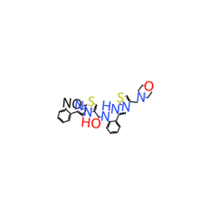 O=[N+]([O-])c1ccccc1-c1cn2c(C(O)Nc3ccccc3-c3cn4c(CN5CCOCC5)csc4n3)csc2n1